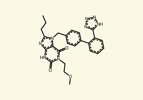 CCCc1nc2[nH]c(=O)n(CCOC)c(=O)c2n1Cc1ccc(-c2ccccc2-c2nnn[nH]2)cc1